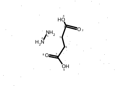 NN.O=C(O)CCC(=O)O